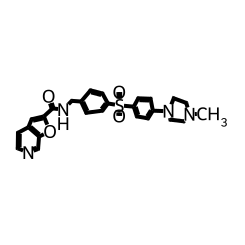 CN1CCN(c2ccc(S(=O)(=O)c3ccc(CNC(=O)c4cc5ccncc5o4)cc3)cc2)CC1